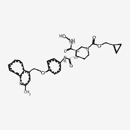 Cc1cc(COc2ccc(NC(=O)[C@H]3CCN(C(=O)OCC4CC4)C[C@@H]3C(=O)NO)cc2)c2ccccc2n1